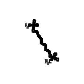 O=S(=O)(OCCCCCCCOS(=O)(=O)C(F)(F)F)C(F)(F)F